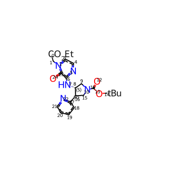 CCOC(=O)Cn1ccnc(N[C@@H]2CN(C(=O)OC(C)(C)C)C[C@H]2c2ccccn2)c1=O